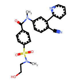 CN(C(=O)c1ccc(S(=O)(=O)N(C)CCO)cc1)c1ccc(C#N)c(-c2ccccn2)c1